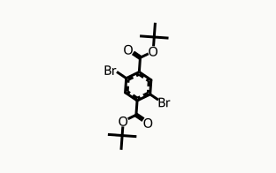 CC(C)(C)OC(=O)c1cc(Br)c(C(=O)OC(C)(C)C)cc1Br